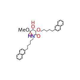 COC(=O)C(O)C(OCCCCCc1ccc2ccccc2c1)C(=O)NCCCCCc1ccc2ccccc2c1